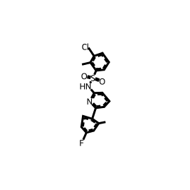 Cc1cc(F)ccc1-c1cccc(NS(=O)(=O)c2cccc(Cl)c2C)n1